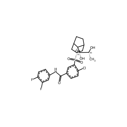 C[C@@H](O)[C@H](O)[C@]1(O)C2CCC1C[C@@H](S(=O)(=O)c1cc(C(=O)Nc3ccc(F)c(F)c3)ccc1Cl)C2